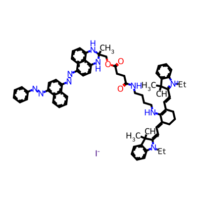 CCN1/C(=C/C=C2\CCCC(/C=C/C3=[N+](CC)c4ccccc4C3(C)C)=C2NCCCCNC(=O)CCC(=O)OCC2(C)Nc3cccc4c(/N=N/c5ccc(/N=N/c6ccccc6)c6ccccc56)ccc(c34)N2)C(C)(C)c2ccccc21.[I-]